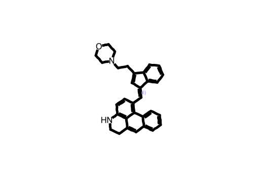 C1=C(CCN2CCOCC2)c2ccccc2/C1=C/c1ccc2c3c(cc4ccccc4c13)CCN2